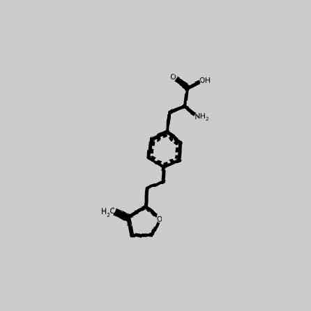 C=C1CCOC1CCc1ccc(CC(N)C(=O)O)cc1